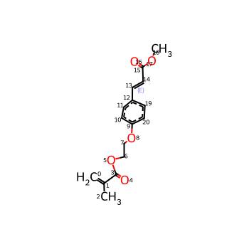 C=C(C)C(=O)OCCOc1ccc(/C=C/C(=O)OC)cc1